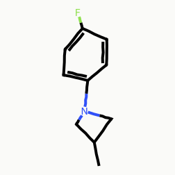 CC1CN(c2ccc(F)cc2)C1